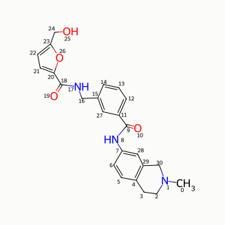 CN1CCc2ccc(NC(=O)c3cccc(CNC(=O)c4ccc(CO)o4)c3)cc2C1